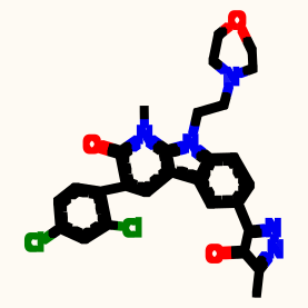 CC1=NN=C(c2ccc3c(c2)c2cc(-c4ccc(Cl)cc4Cl)c(=O)n(C)c2n3CCN2CCOCC2)C1=O